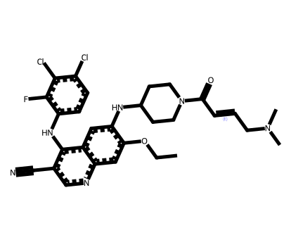 CCOc1cc2ncc(C#N)c(Nc3ccc(Cl)c(Cl)c3F)c2cc1NC1CCN(C(=O)/C=C/CN(C)C)CC1